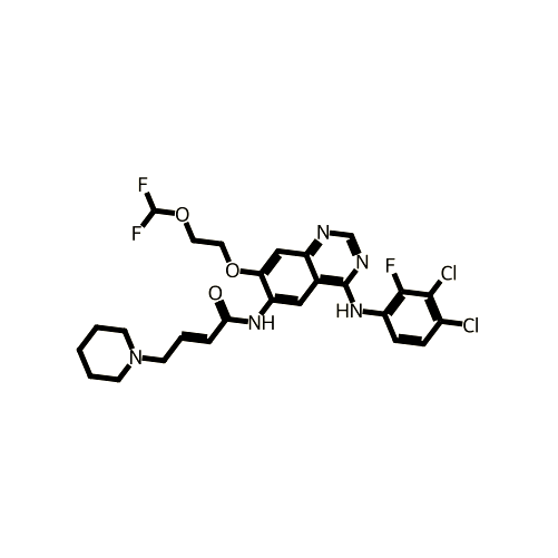 O=C(/C=C/CN1CCCCC1)Nc1cc2c(Nc3ccc(Cl)c(Cl)c3F)ncnc2cc1OCCOC(F)F